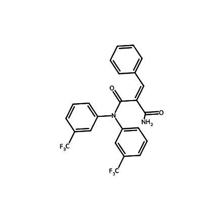 NC(=O)C(=Cc1ccccc1)C(=O)N(c1cccc(C(F)(F)F)c1)c1cccc(C(F)(F)F)c1